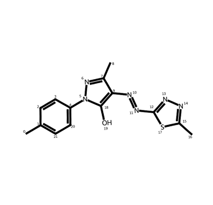 Cc1ccc(-n2nc(C)c(/N=N/c3nnc(C)s3)c2O)cc1